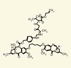 C=CCOC(=O)C(=O)[C@@H](NCC(=O)[C@H](C)NCNc1ccc(COC(=O)N2c3cc(OCCCCCOc4cc5c(cc4OC)C(=O)N4C=C(C)C[C@H]4C=N5)c(OC)cc3C(=O)N3C=C(C)C[C@H]3[C@@H]2O)cc1)C(C)C